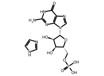 Nc1nc2c(ncn2[C@@H]2O[C@H](COP(=O)(O)O)[C@@H](O)[C@H]2O)c(=O)[nH]1.c1c[nH]cn1